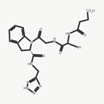 CC(C)C(NC(=O)CCC(=O)O)C(=O)NCC(=O)N1c2ccccc2C[C@H]1C(=O)NCc1nn[nH]n1